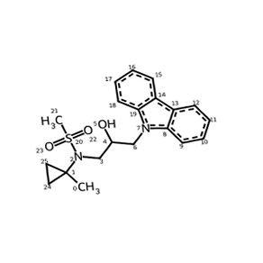 CC1(N(CC(O)Cn2c3ccccc3c3ccccc32)S(C)(=O)=O)CC1